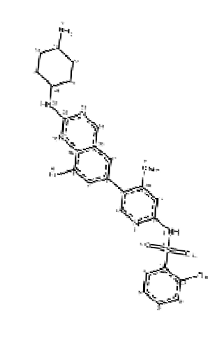 CCc1cc(-c2cnc(NS(=O)(=O)c3ccccc3Cl)cc2OC)cc2cnc(NC3CCC(N)CC3)nc12